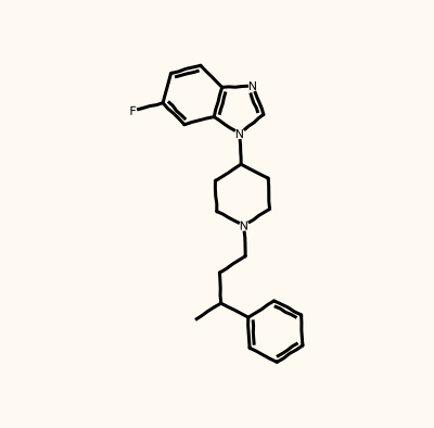 CC(CCN1CCC(n2cnc3ccc(F)cc32)CC1)c1ccccc1